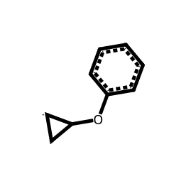 [CH]1CC1Oc1ccccc1